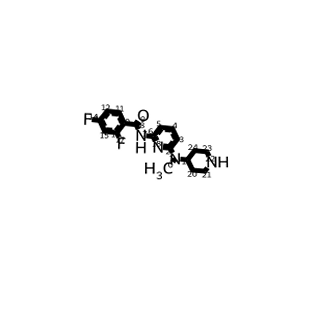 CN(c1cccc(NC(=O)c2ccc(F)cc2F)n1)C1CCNCC1